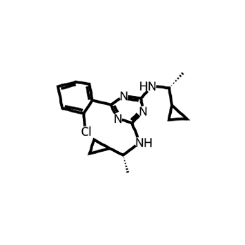 C[C@@H](Nc1nc(N[C@H](C)C2CC2)nc(-c2ccccc2Cl)n1)C1CC1